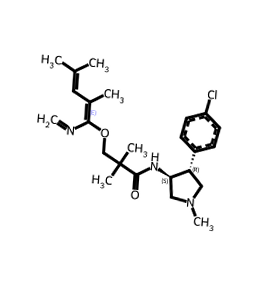 C=N/C(OCC(C)(C)C(=O)N[C@@H]1CN(C)C[C@H]1c1ccc(Cl)cc1)=C(/C)C=C(C)C